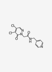 O=C(Cn1ncc(Cl)c(Cl)c1=O)NCc1ccncc1